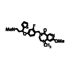 CNCCC(Oc1ccc(CN2CCN(C)c3cc(OC)ncc3C2=O)c(F)c1)c1cccs1